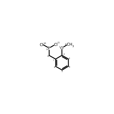 COc1ccccc1CP(Cl)Cl